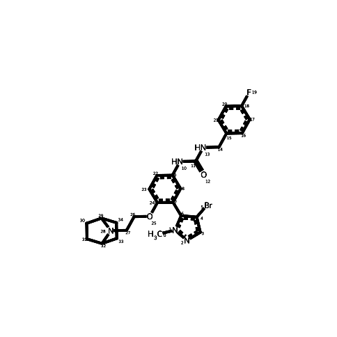 Cn1ncc(Br)c1-c1cc(NC(=O)NCc2ccc(F)cc2)ccc1OCCN1C2CCC1CC2